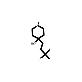 CC(F)(F)CCC1(O)CCNCC1